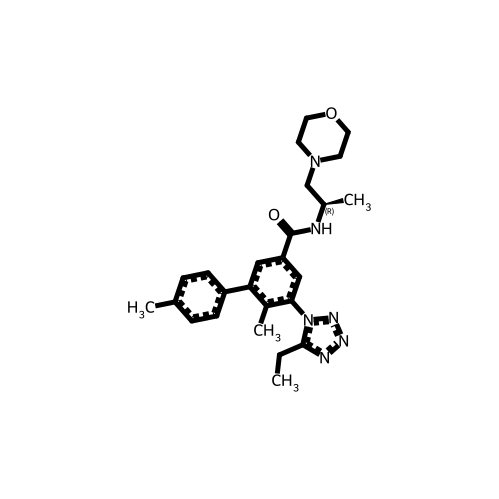 CCc1nnnn1-c1cc(C(=O)N[C@H](C)CN2CCOCC2)cc(-c2ccc(C)cc2)c1C